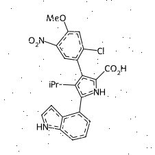 COc1cc(Cl)c(-c2c(C(=O)O)[nH]c(-c3cccc4[nH]ccc34)c2C(C)C)cc1[N+](=O)[O-]